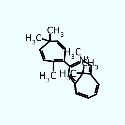 CC1=C(C2=[N+](C)C=C3C=CC=CC(=C2)C3(C)C)C=CC(C)(C)C=C1